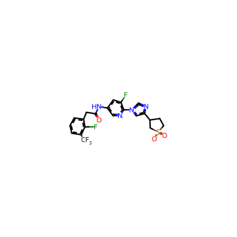 O=C(Cc1cccc(C(F)(F)F)c1F)Nc1cnc(-n2cnc(C3CCS(=O)(=O)C3)c2)c(F)c1